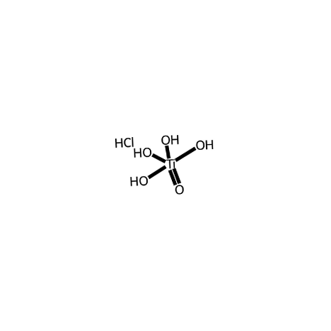 Cl.[O]=[Ti]([OH])([OH])([OH])[OH]